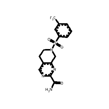 NC(=O)c1n[c]c2c(n1)CN(S(=O)(=O)c1cccc(C(F)(F)F)c1)CC2